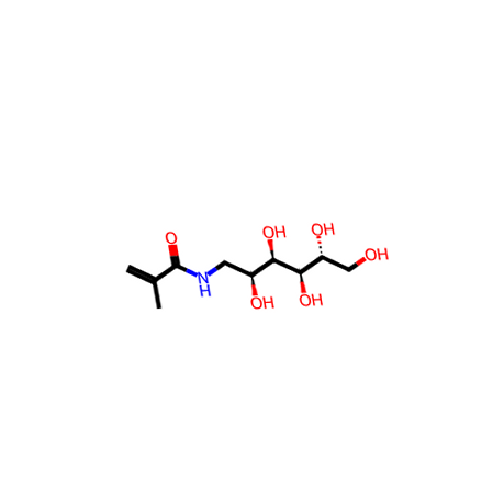 C=C(C)C(=O)NC[C@H](O)[C@@H](O)[C@H](O)[C@H](O)CO